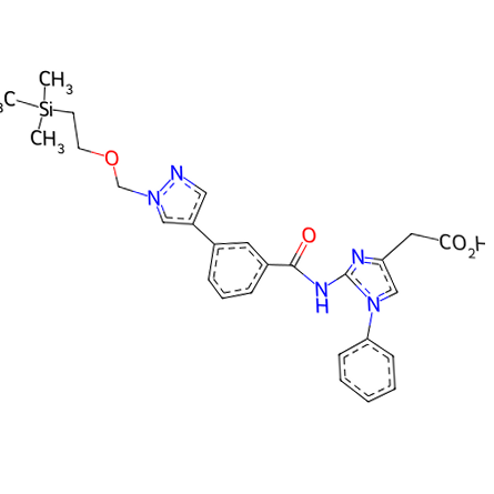 C[Si](C)(C)CCOCn1cc(-c2cccc(C(=O)Nc3nc(CC(=O)O)cn3-c3ccccc3)c2)cn1